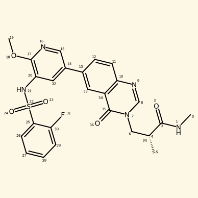 CNC(=O)[C@H](C)Cn1cnc2ccc(-c3cnc(OC)c(NS(=O)(=O)c4ccccc4F)c3)cc2c1=O